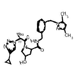 Cc1cc(C)n(Cc2cccc(CNC(=O)C3CC(O)CN3C(=O)[C@@H](n3cc(C4CC4)nn3)C(C)(C)C)c2)n1